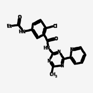 CCC(=O)Nc1ccc(Cl)c(C(=O)Nc2nc(C)nc(-c3ccccn3)n2)c1